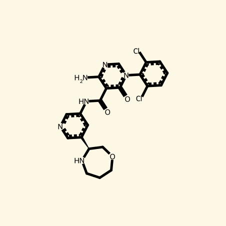 Nc1ncn(-c2c(Cl)cccc2Cl)c(=O)c1C(=O)Nc1cncc([C@H]2COCCCN2)c1